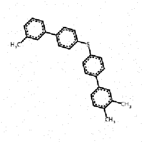 Cc1cccc(-c2ccc(Sc3ccc(-c4ccc(C)c(C)c4)cc3)cc2)c1